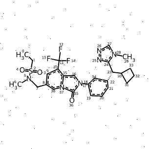 CCS(=O)(=O)N(C)Cc1cc(C(F)(F)F)c2cn(-c3cccc([C@H](c4nncn4C)C4CCC4)c3)c(=O)n2c1